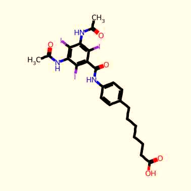 CC(=O)Nc1c(I)c(NC(C)=O)c(I)c(C(=O)Nc2ccc(CCCCCCC(=O)O)cc2)c1I